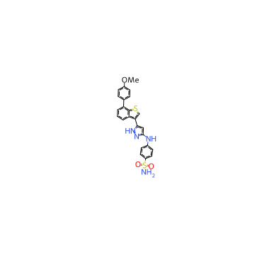 COc1ccc(-c2cccc3c(-c4cc(Nc5ccc(S(N)(=O)=O)cc5)n[nH]4)csc23)cc1